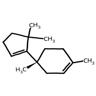 CC1=CC[C@](C)(C2=CCCC2(C)C)CC1